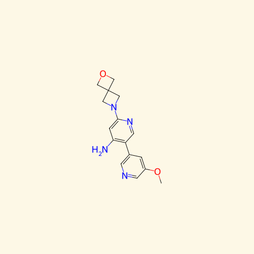 COc1cncc(-c2cnc(N3CC4(COC4)C3)cc2N)c1